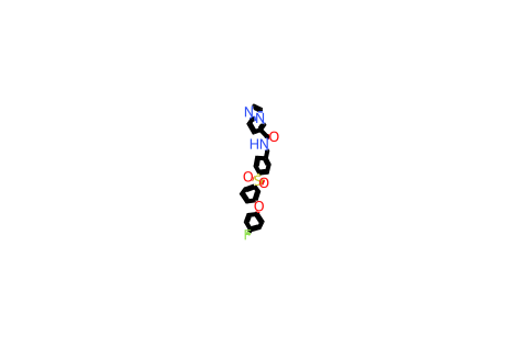 O=C(NCc1ccc(S(=O)(=O)c2cccc(Oc3ccc(F)cc3)c2)cc1)c1ccc2nccn2c1